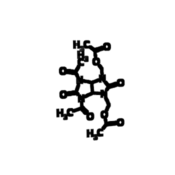 CC(=O)OCN1C(=O)N(COC(C)=O)C2C1N(C(C)=O)C(=O)N2C(C)=O